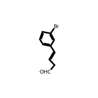 O=[C]CC=Cc1cccc(Br)c1